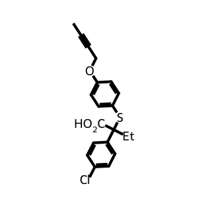 CC#CCOc1ccc(SC(CC)(C(=O)O)c2ccc(Cl)cc2)cc1